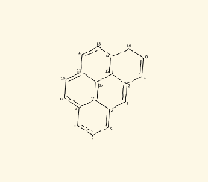 C1=Cc2cc3cccc4ccc5ccc(c2c5c43)C1